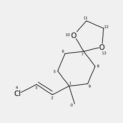 CC1(C=CCl)CCC2(CC1)OCCO2